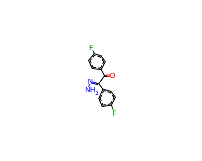 NN=C(C(=O)c1ccc(F)cc1)c1ccc(F)cc1